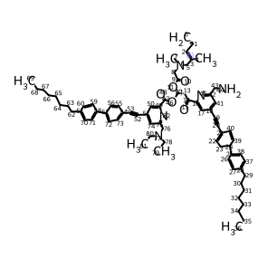 C=C/C=C(\C)CN(C)CC(=O)O[C@H](CC(=O)c1cc(C#CC2=CCC(c3ccc(CCCCCCCC)cc3)C=C2)cc(CN)n1)OC(=O)c1cc(C#Cc2ccc(-c3ccc(CCCCCCCC)cc3)cc2)cc(CN(CC)CC)n1